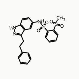 CS(=O)(=O)c1ccccc1S(=O)(=O)Nc1ccc2[nH]nc(CCc3ccccc3)c2c1